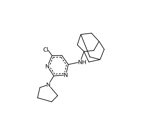 Clc1cc(NC23CC4CC(CC(C4)C2)C3)nc(N2CCCC2)n1